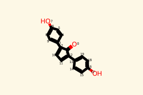 O=C1C(c2ccc(O)cc2)=CC=C1c1ccc(O)cc1